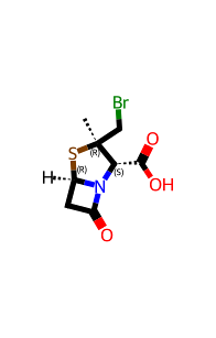 C[C@@]1(CBr)S[C@@H]2CC(=O)N2[C@H]1C(=O)O